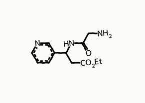 CCOC(=O)CC(NC(=O)CN)c1cccnc1